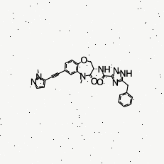 CN1C(=O)[C@@H](NC(=O)c2n[nH]c(Cc3ccccc3)n2)COc2ccc(C#Cc3ccnn3C)cc21